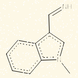 Cn1cc(C=N)c2ccccc21